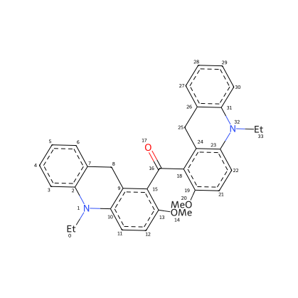 CCN1c2ccccc2Cc2c1ccc(OC)c2C(=O)c1c(OC)ccc2c1Cc1ccccc1N2CC